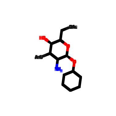 CC(=O)OCC1O[C@@H](OC2CCCCC2)C(N)C(OC(C)=O)[C@H]1O